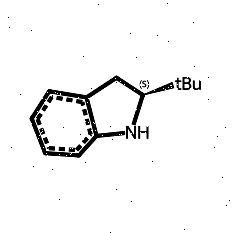 CC(C)(C)[C@@H]1Cc2ccccc2N1